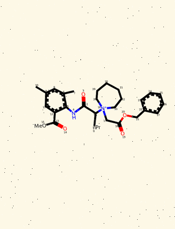 CCCC(C(=O)Nc1c(C)cc(C)cc1C(=O)OC)[N+]1(CC(=O)OCc2ccccc2)CCCCCC1